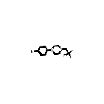 FC(F)(F)CN1CCN(c2ccc(Br)cc2)CC1